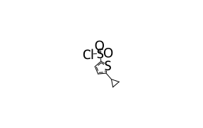 O=S(=O)(Cl)c1ccc(C2CC2)s1